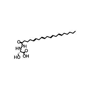 CCCCCC=CCC=CCC=CCC=CCCCC(=O)PN[C@@H](CO)C(=O)O